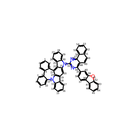 c1ccc2c(c1)-c1ccccc1-n1c3ccccc3c3cc4c(c-2c31)c1ccccc1n4-c1nc(-c2ccc3c(c2)oc2ccccc23)c2ccc3ccccc3c2n1